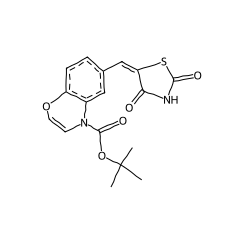 CC(C)(C)OC(=O)N1C=COc2ccc(C=C3SC(=O)NC3=O)cc21